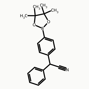 CC1(C)OB(c2ccc(C(C#N)c3ccccc3)cc2)OC1(C)C